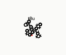 Cc1cc2c3c(c1)N(c1cccc4c1-c1ccccc1C4(C)C)c1cc(N4c5ccc(C(C)(C)C)cc5C5(C)CCCCC45C)ccc1B3c1cc3c(cc1N2c1cc2c(cc1C)C(C)(C)CCC2(C)C)C(C)(C)c1ccccc1C3(C)C